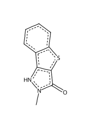 Cn1[nH]c2c(sc3ccccc32)c1=O